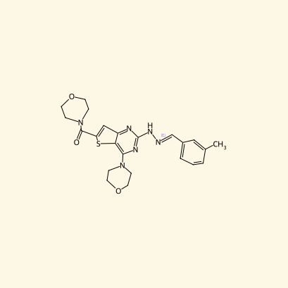 Cc1cccc(/C=N/Nc2nc(N3CCOCC3)c3sc(C(=O)N4CCOCC4)cc3n2)c1